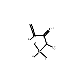 C=C(C)C(=O)C(CC)[Si](C)(C)C